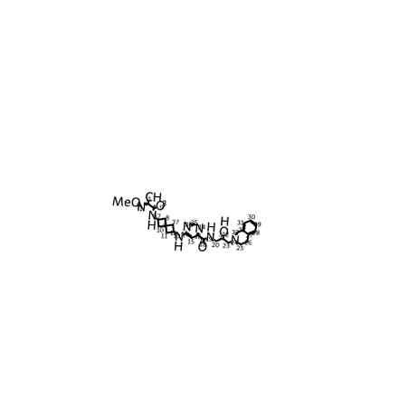 CON=C(C)C(=O)NC1CC2(C1)CC(Nc1cc(C(=O)NC[C@H](O)CN3CCc4ccccc4C3)ncn1)C2